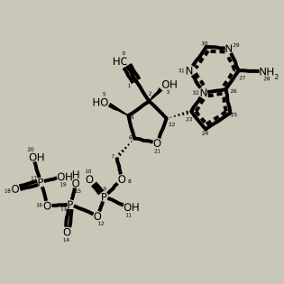 C#C[C@@]1(O)[C@H](O)[C@@H](COP(=O)(O)OP(=O)(O)OP(=O)(O)O)O[C@H]1c1ccc2c(N)ncnn12